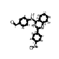 O=Cc1ccc(Nc2nc(-c3ccc(N=O)cc3)nc3ccccc23)cc1